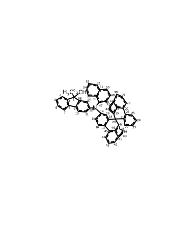 CC1(C)c2ccccc2-c2ccc(N(c3ccc4c(c3)C3(c5ccccc5-c5cccc6cccc3c56)c3cccc5cccc-4c35)c3cccc4ccccc34)cc21